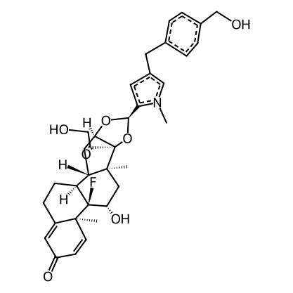 Cn1cc(Cc2ccc(CO)cc2)cc1[C@@H]1O[C@@H]2C[C@H]3[C@@H]4CCC5=CC(=O)C=C[C@]5(C)[C@@]4(F)[C@@H](O)C[C@]3(C)[C@]2(C(=O)CO)O1